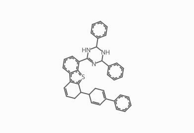 C1=Cc2c(sc3c(C4=NC(c5ccccc5)NC(c5ccccc5)N4)cccc23)C(C2C=CC(c3ccccc3)=CC2)C1